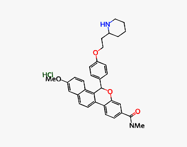 CNC(=O)c1ccc2c(c1)OC(c1ccc(OCCC3CCCCN3)cc1)c1c-2ccc2cc(OC)ccc12.Cl